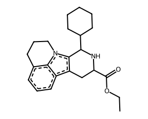 CCOC(=O)C1Cc2c(n3c4c(cccc24)CCC3)C(C2CCCCC2)N1